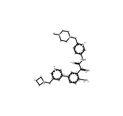 CN1CCN(Cc2ccc(NC(=O)C(=N)c3cc(-c4cncc(CN5CCC5)c4)ccc3N)cn2)CC1